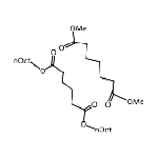 CCCCCCCCOC(=O)CCCCC(=O)OCCCCCCCC.COC(=O)CCCCCC(=O)OC